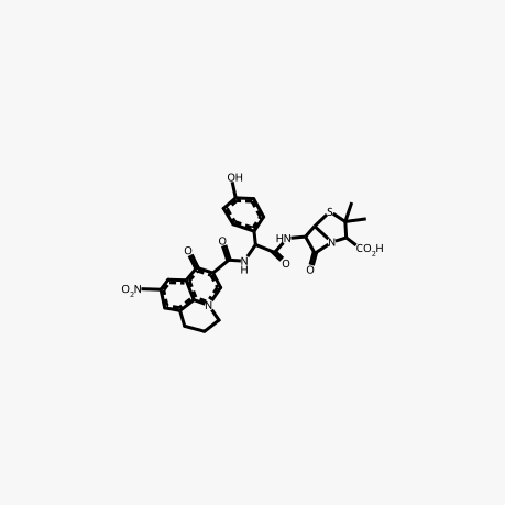 CC1(C)SC2C(NC(=O)C(NC(=O)c3cn4c5c(cc([N+](=O)[O-])cc5c3=O)CCC4)c3ccc(O)cc3)C(=O)N2C1C(=O)O